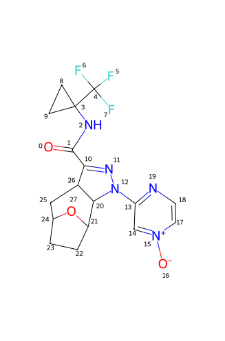 O=C(NC1(C(F)(F)F)CC1)C1=NN(c2c[n+]([O-])ccn2)C2C3CCC(CC12)O3